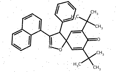 CC(C)(C)C1=CC2(C=C(C(C)(C)C)C1=O)ON=C(c1cccc3ccccc13)C2c1ccccc1